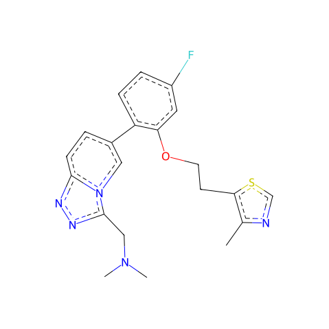 Cc1ncsc1CCOc1cc(F)ccc1-c1ccc2nnc(CN(C)C)n2c1